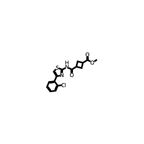 COC(=O)C1CC(C(=O)Nc2nc(-c3ccccc3Cl)cs2)C1